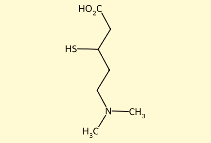 CN(C)CCC(S)CC(=O)O